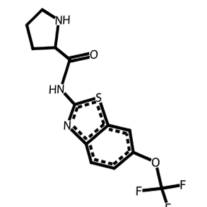 O=C(Nc1nc2ccc(OC(F)(F)F)cc2s1)C1CCCN1